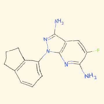 Nc1nc2c(cc1F)c(N)nn2-c1cccc2c1CCC2